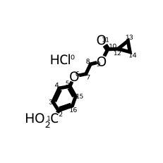 Cl.O=C(O)c1ccc(OCCOC(=O)C2CC2)cc1